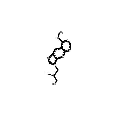 BNc1ncnc2nc3c(cc12)ncn3C[C@H](O)CO